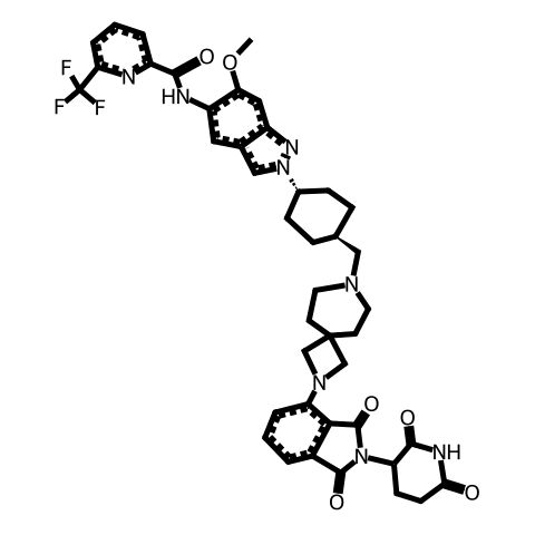 COc1cc2nn([C@H]3CC[C@H](CN4CCC5(CC4)CN(c4cccc6c4C(=O)N(C4CCC(=O)NC4=O)C6=O)C5)CC3)cc2cc1NC(=O)c1cccc(C(F)(F)F)n1